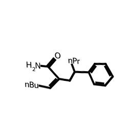 CCCC/C=C(/CC(CCC)c1ccccc1)C(N)=O